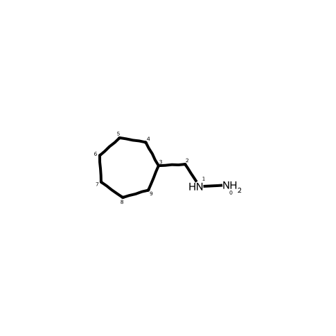 NNCC1CCCCCC1